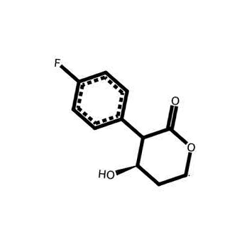 O=C1O[CH]C[C@@H](O)C1c1ccc(F)cc1